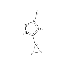 Brc1cnc(C2CC2)o1